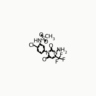 CS(=O)(=O)Nc1cc(-n2c(=O)cc(C(F)(F)F)n(N)c2=O)ccc1Cl